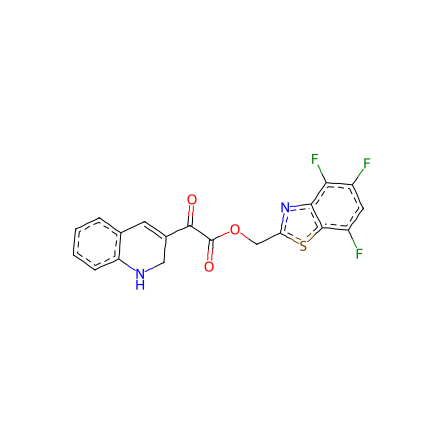 O=C(OCc1nc2c(F)c(F)cc(F)c2s1)C(=O)C1=Cc2ccccc2NC1